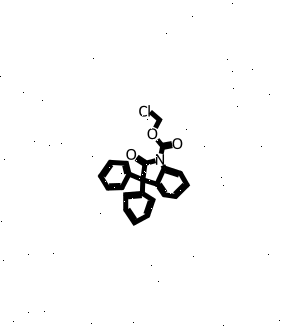 O=C(OCCl)N1C(=O)C(c2ccccc2)(c2ccccc2)c2ccccc21